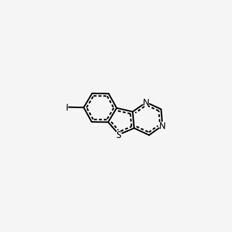 Ic1ccc2c(c1)sc1cncnc12